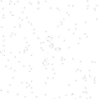 Cc1cnc(-c2cc(-c3ccccc3)n(CC(=O)N3CCN(c4ccccn4)CC3)n2)cc1C